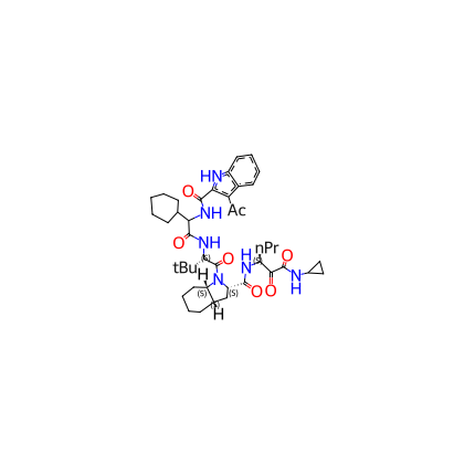 CCC[C@H](NC(=O)[C@@H]1C[C@@H]2CCCC[C@@H]2N1C(=O)[C@@H](NC(=O)C(NC(=O)c1[nH]c2ccccc2c1C(C)=O)C1CCCCC1)C(C)(C)C)C(=O)C(=O)NC1CC1